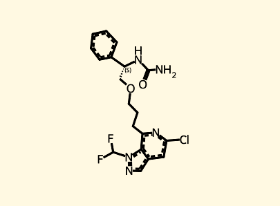 NC(=O)N[C@H](COCCCc1nc(Cl)cc2cnn(C(F)F)c12)c1ccccc1